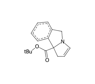 CC(C)(C)OC(=O)C12CC=CN1Cc1ccccc12